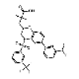 CC(C)(CC1CN(S(=O)(=O)c2cccc(C(F)(F)F)c2)c2cc(-c3cccc(C(F)F)n3)ccc2O1)C(=O)O